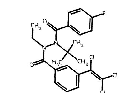 CCN(C(=O)c1cccc(C(Cl)=C(Cl)Cl)c1)N(C(=O)c1ccc(F)cc1)C(C)(C)C